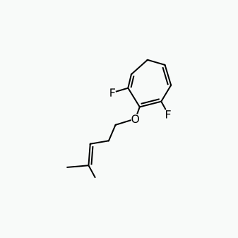 CC(C)=CCCOC1=C(F)C=CCC=C1F